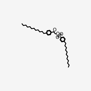 CCCCCCCCCCCCc1ccc(C(=O)COS(=O)(=O)c2ccc(CCCCCCCCCCCC)cc2)cc1